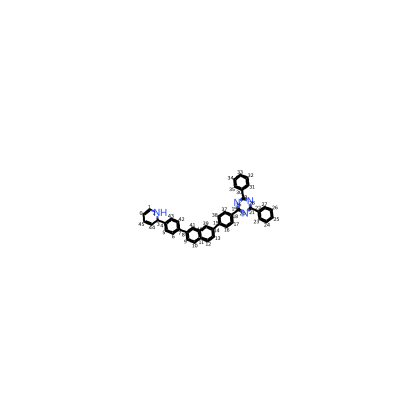 C1=CNC(c2ccc(-c3ccc4ccc(-c5ccc(-c6nc(-c7ccccc7)nc(-c7ccccc7)n6)cc5)cc4c3)cc2)C=C1